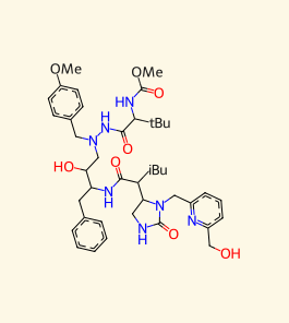 CCC(C)C(C(=O)NC(Cc1ccccc1)C(O)CN(Cc1ccc(OC)cc1)NC(=O)C(NC(=O)OC)C(C)(C)C)C1CNC(=O)N1Cc1cccc(CO)n1